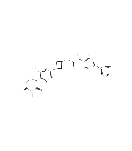 O=C1CCC(c2c(F)cc(N3CC(OC(=O)Nc4cnc(-c5ccccc5)nc4)C3)cc2F)C(=O)N1